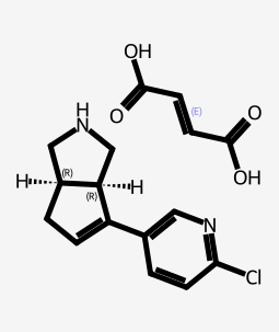 Clc1ccc(C2=CC[C@H]3CNC[C@@H]23)cn1.O=C(O)/C=C/C(=O)O